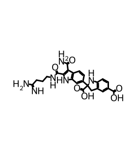 N=C(N)CCCNC(=O)c1[nH]c2cc(C3(C(=O)O)Cc4cc(C(=O)O)ccc4N3)ccc2c1C(N)=O